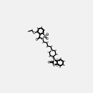 CCOc1cccc2c1C(=O)N(CCCCN1CCC(n3c(=O)oc4ccccc43)CC1)S2(=O)=O